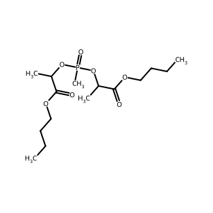 CCCCOC(=O)C(C)OP(C)(=O)OC(C)C(=O)OCCCC